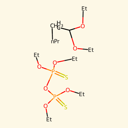 CCCC.CCOC(C)OCC.CCOP(=S)(OCC)OP(=S)(OCC)OCC